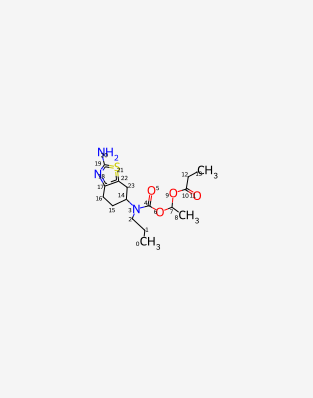 CCCN(C(=O)OC(C)OC(=O)CC)C1CCc2nc(N)sc2C1